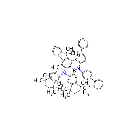 Cc1cc2c(cc1N1c3cc4c(cc3B3c5c1cc1c(c5-c5cc(-c6ccccc6)ccc5N3c3ccc(-c5ccccc5)cc3)C(C)(C)c3ccccc3-1)C(C)(C)CCC4(C)C)C(C)(C)CCC2(C)C